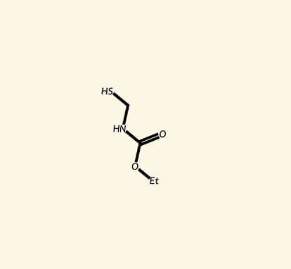 CCOC(=O)NCS